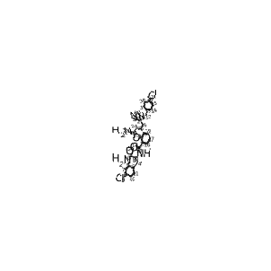 NC(=O)[C@H](Cc1ccc(Cl)cc1)NC(=O)c1cccc2c1OC(N)CC2Cc1cncn1Cc1ccc(Cl)cc1